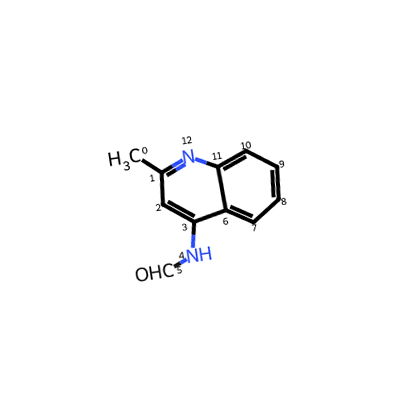 Cc1cc(NC=O)c2ccccc2n1